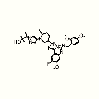 COc1ccc(CNc2nc3cc(OC)c(F)cc3c3nc(C4CCC(C)N(c5cnn(C(C)C(C)(C)O)c5)C4)nn23)c(OC)c1